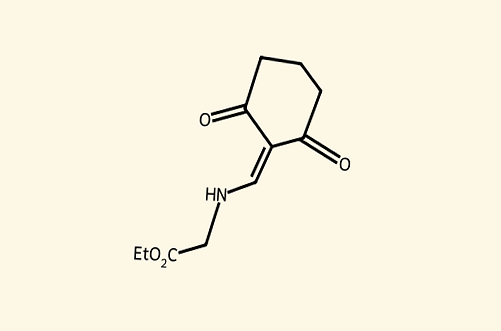 CCOC(=O)CNC=C1C(=O)CCCC1=O